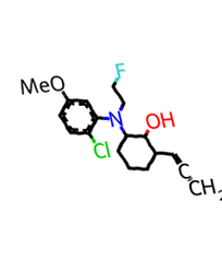 C=C=CC1CCCC(N(CCF)c2cc(OC)ccc2Cl)C1O